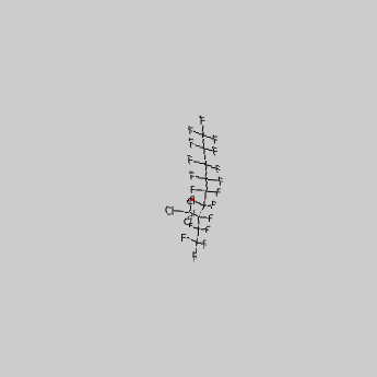 FC(F)(F)C(F)(F)C(F)(F)C(F)(F)C(F)(F)C(F)(F)C(F)(C(F)(F)C(F)(F)F)[Si](Cl)(Cl)Cl